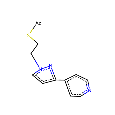 CC(=O)SCCn1ccc(-c2ccncc2)n1